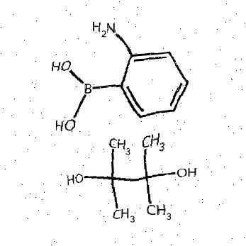 CC(C)(O)C(C)(C)O.Nc1ccccc1B(O)O